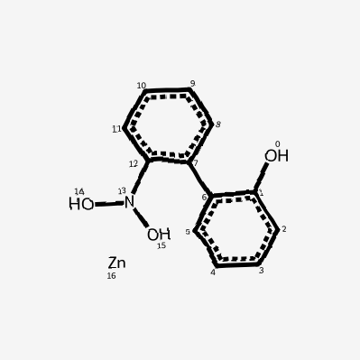 Oc1ccccc1-c1ccccc1N(O)O.[Zn]